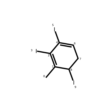 CC1=C(I)C(I)=CCC1I